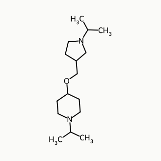 CC(C)N1CCC(OCC2CCN(C(C)C)C2)CC1